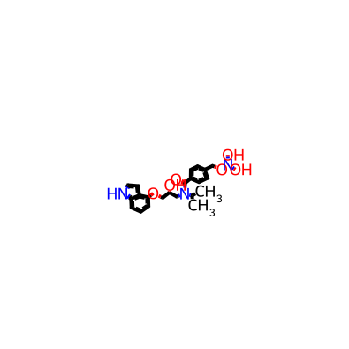 CC(C)N(CC(O)COc1cccc2[nH]ccc12)C(=O)c1ccc(CON(O)O)cc1